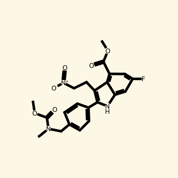 COC(=O)c1cc(F)cc2[nH]c(-c3ccc(CN(C)C(=O)OC)cc3)c(CC[N+](=O)[O-])c12